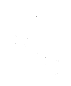 CCCn1nc(CC)nc1Cc1ccc(-c2ncccc2-c2nnn[nH]2)cc1